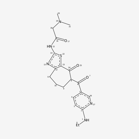 CCNc1ccc(C(=O)C2CCCc3nc(NC(=O)CN(C)C)sc3C2=O)cn1